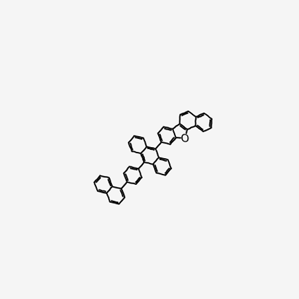 c1ccc2c(-c3ccc(-c4c5ccccc5c(-c5ccc6c(c5)oc5c7ccccc7ccc65)c5ccccc45)cc3)cccc2c1